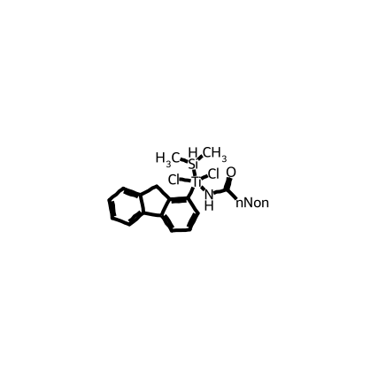 CCCCCCCCCC(=O)[NH][Ti]([Cl])([Cl])([c]1cccc2c1Cc1ccccc1-2)[SiH](C)C